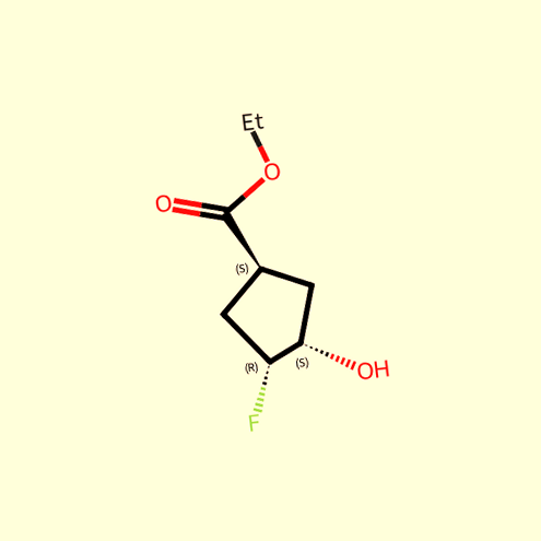 CCOC(=O)[C@@H]1C[C@@H](F)[C@@H](O)C1